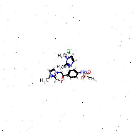 Cc1n(CC(=O)c2ccc(NS(C)(=O)=O)cc2)cc[n+]1C.Cc1nccn1C.[Cl-]